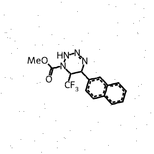 COC(=O)N1NN=NC(c2ccc3ccccc3c2)C1C(F)(F)F